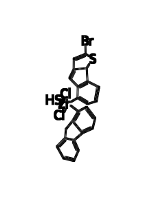 [SH][Zr]([Cl])([Cl])([c]1cccc2c1C=C1C=C(Br)SC12)[c]1cccc2c1Cc1ccccc1-2